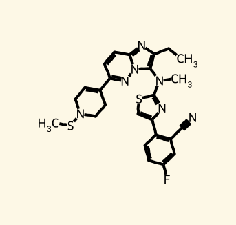 CCc1nc2ccc(C3=CCN(SC)CC3)nn2c1N(C)c1nc(-c2ccc(F)cc2C#N)cs1